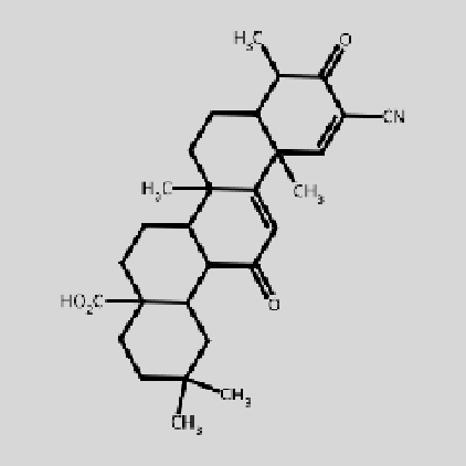 CC1C(=O)C(C#N)=CC2(C)C3=CC(=O)C4C(CCC5(C(=O)O)CCC(C)(C)CC45)C3(C)CCC12